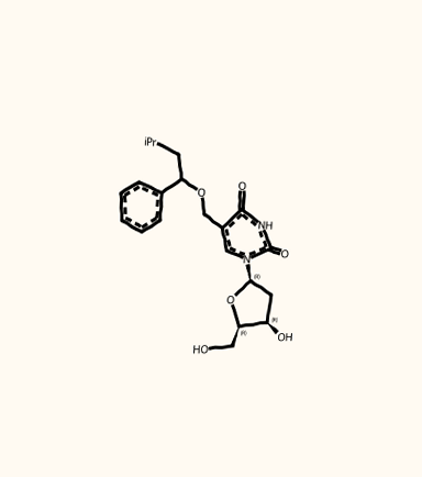 CC(C)CC(OCc1cn([C@H]2C[C@@H](O)[C@@H](CO)O2)c(=O)[nH]c1=O)c1ccccc1